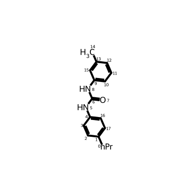 CCCc1ccc(NC(=O)Nc2cccc(C)c2)cc1